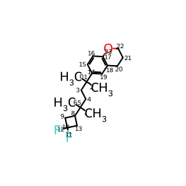 CC(C)(CCC(C)(C)C1CC(F)(F)C1)c1ccc2c(c1)CCCO2